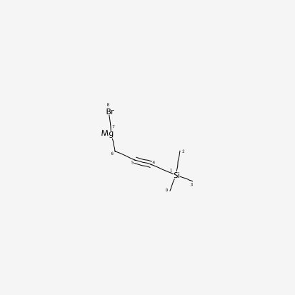 C[Si](C)(C)C#C[CH2][Mg][Br]